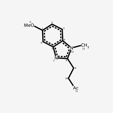 COc1ccc2c(c1)nc(CCC(C)=O)n2C